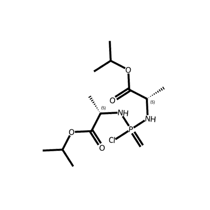 C=P(Cl)(N[C@@H](C)C(=O)OC(C)C)N[C@@H](C)C(=O)OC(C)C